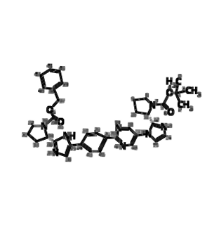 CC(C)(C)OC(=O)N1CCC[C@H]1c1nccn1-c1cnc(-c2ccc(-c3cnc([C@@H]4CCCN4C(=O)OCc4ccccc4)[nH]3)cc2)nc1